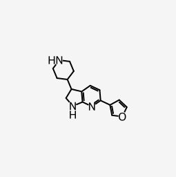 c1cc(-c2ccc3c(n2)NCC3C2CCNCC2)co1